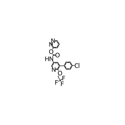 O=C(Nc1cnc(OCC(F)(F)F)c(-c2ccc(Cl)cc2)c1)Oc1cccnn1